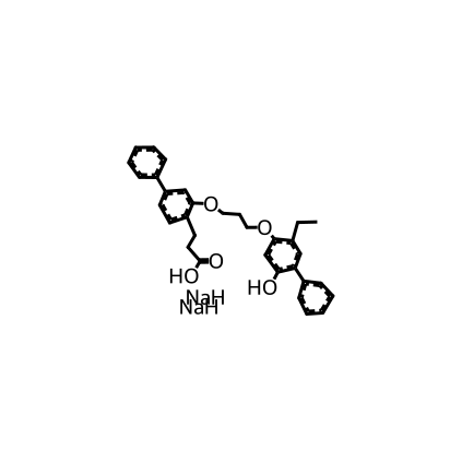 CCc1cc(-c2ccccc2)c(O)cc1OCCCOc1cc(-c2ccccc2)ccc1CCC(=O)O.[NaH].[NaH]